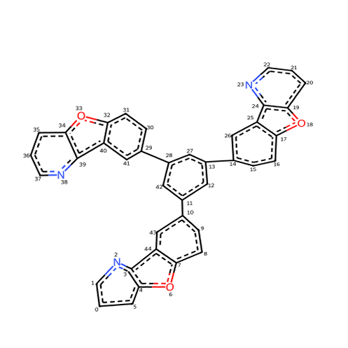 c1cnc2c(c1)oc1ccc(-c3cc(-c4ccc5oc6cccnc6c5c4)cc(-c4ccc5oc6cccnc6c5c4)c3)cc12